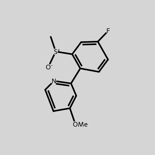 COc1ccnc(-c2ccc(F)cc2[S+](C)[O-])c1